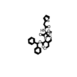 CO[C@@]1(NC(=O)Cc2cccs2)C(=O)N2C(C(=O)OC(c3ccccc3)c3ccccc3)C(CCl)=CS[C@H]21